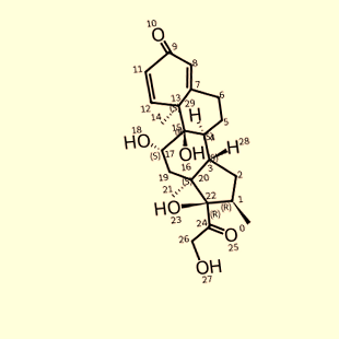 C[C@@H]1C[C@H]2[C@@H]3CCC4=CC(=O)C=C[C@]4(C)[C@@]3(O)[C@@H](O)C[C@]2(C)[C@@]1(O)C(=O)CO